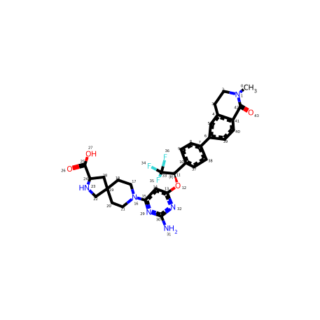 CN1CCc2cc(-c3ccc([C@@H](Oc4cc(N5CCC6(CC5)CNC(C(=O)O)C6)nc(N)n4)C(F)(F)F)cc3)ccc2C1=O